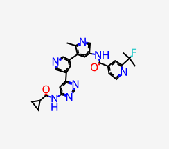 Cc1ncc(NC(=O)c2ccnc(C(C)(C)F)c2)cc1-c1cncc(-c2cc(NC(=O)C3CC3)ncn2)c1